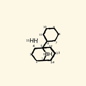 B1C2CCCC1(C1CCCCC1)CCC2.[HH]